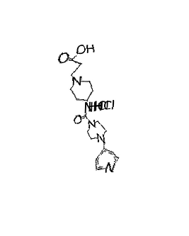 Cl.Cl.O=C(O)CCN1CCC(NC(=O)N2CCN(c3ccncc3)CC2)CC1